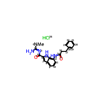 CNC(N)=NC(=O)c1cc2cccc(NC(=O)CCc3ccccc3)c2[nH]1.Cl